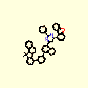 CC1(C)c2cccc(-c3cccc(-c4ccc(-c5cc(-c6cccc7oc8ccccc8c67)nc(-c6ccccc6)n5)c5ccccc45)c3)c2-c2ccc3ccccc3c21